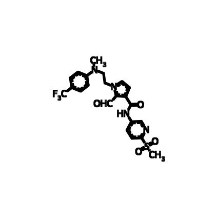 CN(CCn1ccc(C(=O)Nc2ccc(S(C)(=O)=O)nc2)c1C=O)c1ccc(C(F)(F)F)cc1